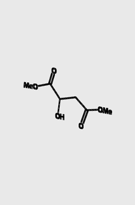 COC(=O)CC(O)C(=O)OC